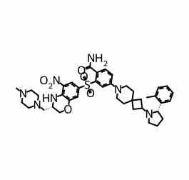 Cc1ccccc1[C@@H]1CCCN1C1CC2(CCN(c3ccc(C(N)=O)c(S(=O)(=O)c4cc5c(c([N+](=O)[O-])c4)N[C@@H](CN4CCN(C)CC4)CO5)c3)CC2)C1